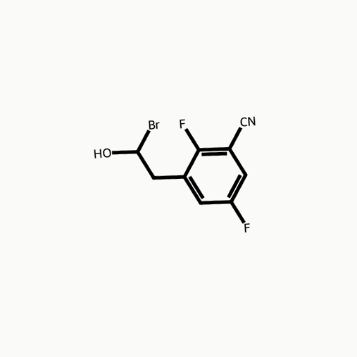 N#Cc1cc(F)cc(CC(O)Br)c1F